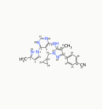 Cc1ccn(-c2cc(Nc3c(C)c(-c4ccc(C#N)cc4)nn3CC3CC3)ncn2)n1